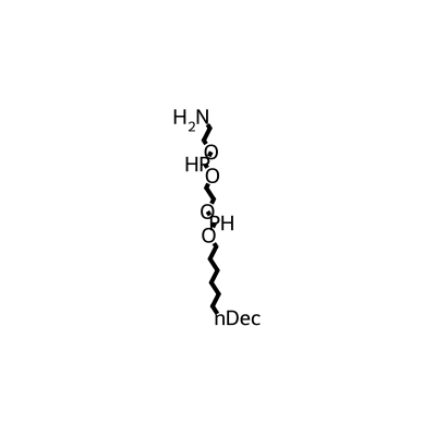 CCCCCCCCCCCCCCCCOPOCCOPOCCN